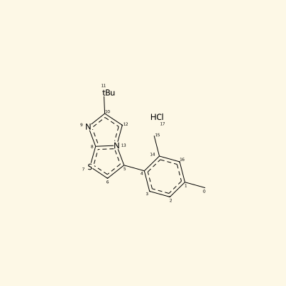 Cc1ccc(-c2csc3nc(C(C)(C)C)cn23)c(C)c1.Cl